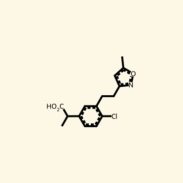 Cc1cc(CCc2cc(C(C)C(=O)O)ccc2Cl)no1